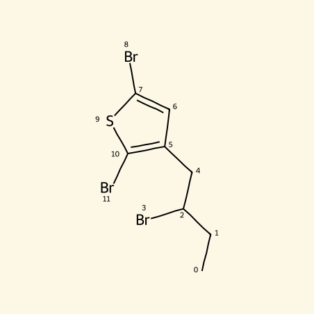 CCC(Br)Cc1cc(Br)sc1Br